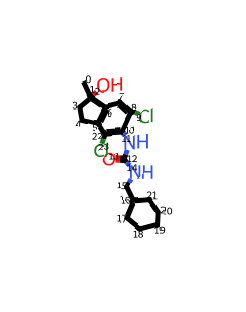 CC1(O)CCc2c1cc(Cl)c(NC(=O)NCC1CCCCC1)c2Cl